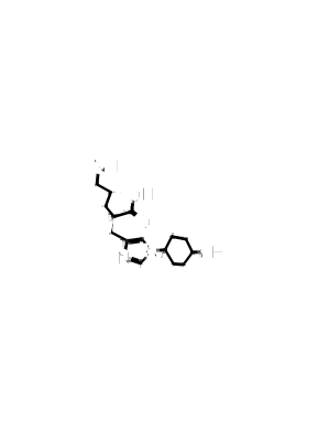 CC1CCC(n2cnc(C[C@@H](CCCN)C(=O)O)c2)CC1